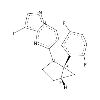 Fc1ccc(F)c([C@@]23C[C@@H]2CCN3c2ccn3ncc(I)c3n2)c1